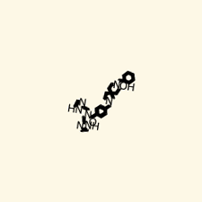 O=C(c1ccc(CN2CCC3(CCN(CC4(O)CCCCC4)CC3)C2)cc1)N(Cc1ncc[nH]1)Cc1ncc[nH]1